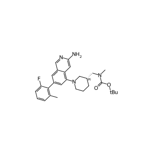 Cc1cccc(F)c1-c1cc(N2CCC[C@@H](CN(C)C(=O)OC(C)(C)C)C2)c2cc(N)ncc2c1